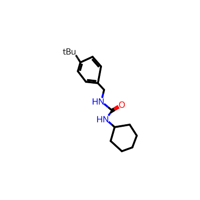 CC(C)(C)c1ccc(CNC(=O)NC2CCCCC2)cc1